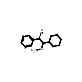 CNC(C1CCCCC1)[C@H](O)c1ccccc1